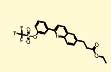 CCOC(=O)CCc1ccc2nc(-c3cccc(OS(=O)(=O)C(F)(F)F)c3)ccc2c1